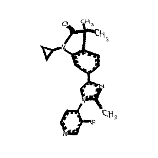 Cc1nc(-c2ccc3c(c2)N(C2CC2)C(=O)C3(C)C)cn1-c1ccncc1F